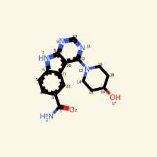 NC(=O)c1ccc2[nH]c3ncnc(N4CCC(O)CC4)c3c2c1